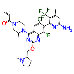 C=CC(=O)N1CCN(c2nc(OCC3CCCN3C)nc3c(F)c(-c4nc(N)cc(C)c4C(F)(F)F)c(Cl)cc23)C(C)C1